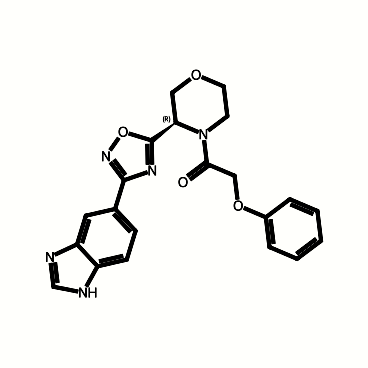 O=C(COc1ccccc1)N1CCOC[C@@H]1c1nc(-c2ccc3[nH]cnc3c2)no1